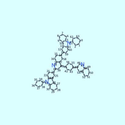 c1ccc(-n2c3ccccc3c3cc(-c4ccc5nc(-c6ccc7c(c6)c6ccccc6n7-c6ccccc6)cc(-c6ccc(-c7cnc8ccccc8c7)cc6)c5c4)ccc32)cc1